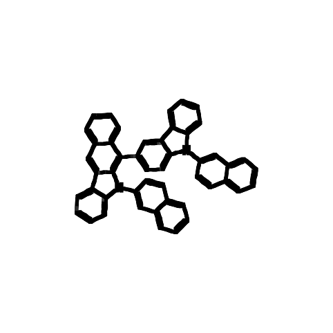 c1ccc2cc(-n3c4ccccc4c4cc(-c5c6ccccc6cc6c7ccccc7n(-c7ccc8ccccc8c7)c56)ccc43)ccc2c1